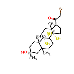 BC12CCC3(S)[C@]4(S)CCC(C(=O)CBr)C4(C)CC[C@]3(S)C1(B)CC[C@@](C)(O)C2